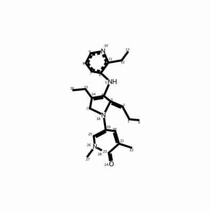 CC/C=C1/C(Nc2cccnc2CC)=C(CC)CN1C(/C=C(/C)C=O)=C/N(C)C